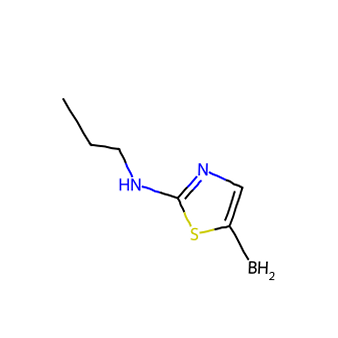 Bc1cnc(NCCC)s1